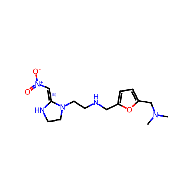 CN(C)Cc1ccc(CNCCN2CCN/C2=C\[N+](=O)[O-])o1